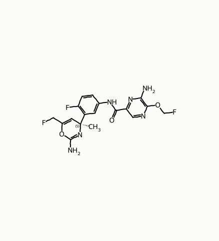 C[C@@]1(c2cc(NC(=O)c3cnc(OCF)c(N)n3)ccc2F)C=C(CF)OC(N)=N1